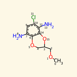 COCC1COc2c(N)cc(Cl)c(N)c2O1